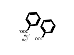 O=C([O-])c1ccccc1.O=C([O-])c1ccccc1.[Ag+].[Ag+]